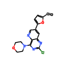 O=Cc1ccc(-c2cnc3c(N4CCOCC4)nc(Cl)nc3c2)o1